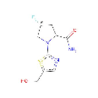 NC(=O)C1C[C@@H](F)CN1c1ncc(CO)s1